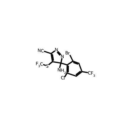 N#CC1=C(SC(F)(F)F)C(N)(c2c(Cl)cc(C(F)(F)F)cc2Br)N=N1